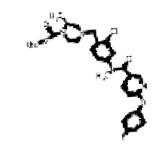 C[C@H]1CN(Cc2ccc(N(C)C(=O)c3ccc(Oc4ccc(F)cc4)nc3)cc2Cl)CCN1C(=O)OC(C)(C)C